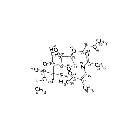 CCOP(=O)(OCC)C(F)(F)C[C@H]1O[C@@H](N(/C=C(/C)C(C)=O)C(C)=O)[C@H](OCCOC)[C@@H]1O